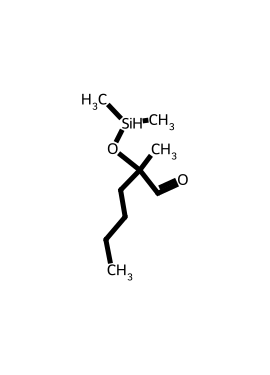 CCCCC(C)(C=O)O[SiH](C)C